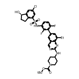 CCc1cc(-c2c(F)ccc(NS(=O)(=O)c3cc(Cl)cc4c3CC[C@H]4O)c2F)cc2cnc(NC3CCN(C(=O)OC(C)(C)C)CC3)nc12